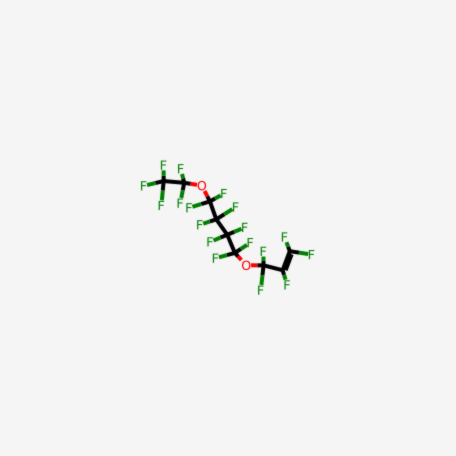 FC(F)=C(F)C(F)(F)OC(F)(F)C(F)(F)C(F)(F)C(F)(F)OC(F)(F)C(F)(F)F